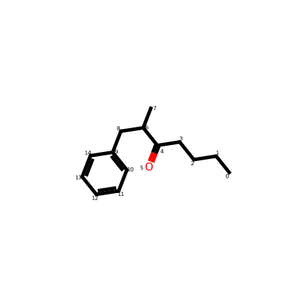 CCCCC(=O)C(C)Cc1ccccc1